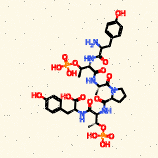 C[C@H](NC(=O)[C@@H](NC(=O)[C@@H](N)Cc1ccc(O)cc1)[C@@H](C)OP(=O)(O)O)C(=O)N1CCC[C@H]1C(=O)N[C@H](C(=O)N[C@@H](Cc1ccc(O)cc1)C(=O)O)[C@@H](C)OP(=O)(O)O